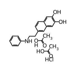 CC(=O)O.CC(=O)O.Cl.Oc1cc2ccc(CCNc3ccccc3)cc2cc1O